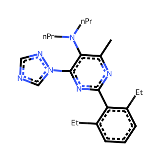 CCCN(CCC)c1c(C)nc(-c2c(CC)cccc2CC)nc1-n1cncn1